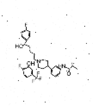 CC(C)C(=O)Nc1cccc(C2CCN(CCCCC(O)c3ccc(F)cc3)CC2)c1.Oc1cc(C(F)(F)F)ccc1F